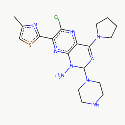 Cc1csc(-c2nc3c(nc2Cl)C(N2CCCC2)=NC(N2CCNCC2)N3N)n1